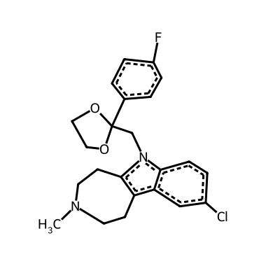 CN1CCc2c(n(CC3(c4ccc(F)cc4)OCCO3)c3ccc(Cl)cc23)CC1